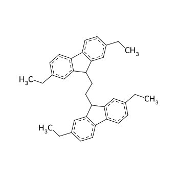 CCc1ccc2c(c1)C(CCC1c3cc(CC)ccc3-c3ccc(CC)cc31)c1cc(CC)ccc1-2